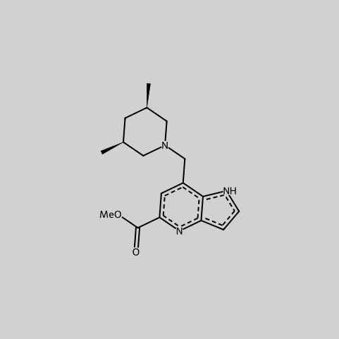 COC(=O)c1cc(CN2C[C@H](C)C[C@H](C)C2)c2[nH]ccc2n1